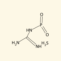 N=C(N)NP(=O)=O.S